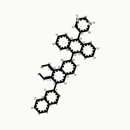 C/C=c1/c(-c2ccc3ccccc3c2)cc2ccc(-c3c4ccccc4c(-c4cncnc4)c4ccccc34)cc2/c1=C/C